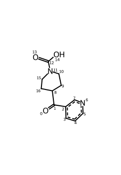 O=C(c1cccnc1)C1CCN(C(=O)O)CC1